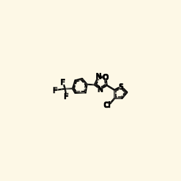 FC(F)(F)c1ccc(-c2noc(-c3sccc3Cl)n2)cc1